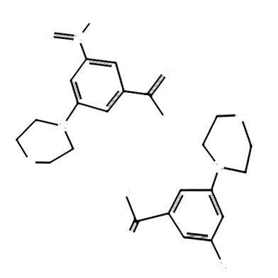 Nc1cc(C(=O)O)cc(N2CCOCC2)c1.O=C(O)c1cc(N2CCOCC2)cc([N+](=O)[O-])c1